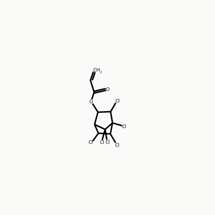 C=CC(=O)OC1C2C(Cl)C(Cl)C(Cl)(C1Cl)C2(Cl)Cl